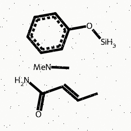 CC=CC(N)=O.CNC.[SiH3]Oc1ccccc1